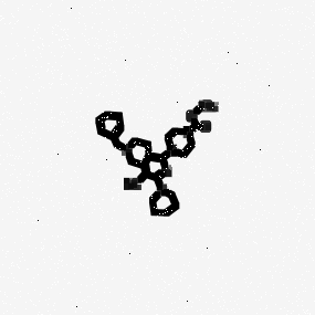 CC(C)(C)OC(=O)N1CCN(c2nc(N3CCCCC3)c(C#N)c3c2CCN(Cc2ccccc2)C3)CC1